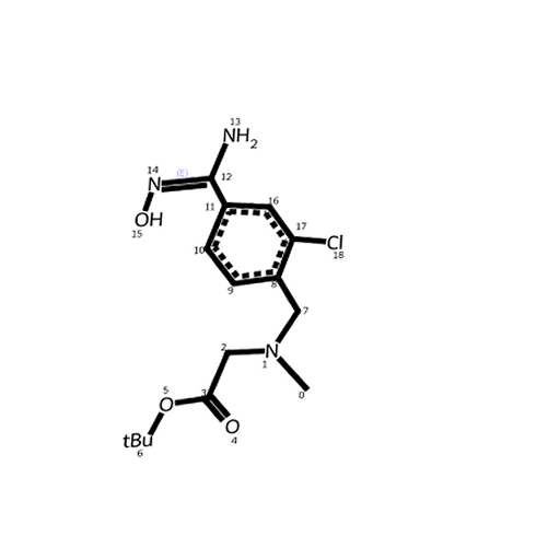 CN(CC(=O)OC(C)(C)C)Cc1ccc(/C(N)=N\O)cc1Cl